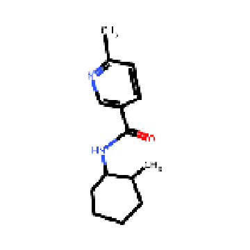 Cc1ccc(C(=O)NC2CCCCC2C)cn1